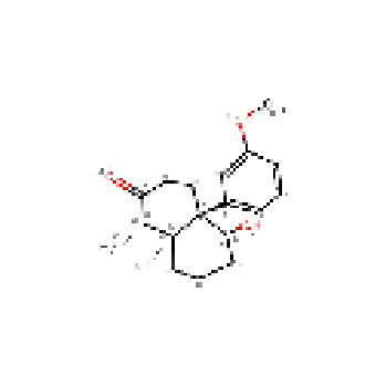 COc1cccc([C@]23CCC(=O)[C@@H](C)[C@@H]2CCC[C@@H]3O)c1